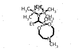 CCC(N([Si](C)(C)C)[Si](C)(C)C)[Si]1(C)OCCN(C)CCO1